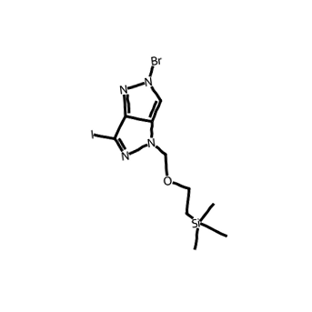 C[Si](C)(C)CCOCn1nc(I)c2nn(Br)cc21